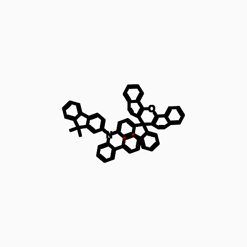 CC1(C)c2ccccc2-c2ccc(N(c3ccc4c(c3)-c3ccccc3C43c4ccc5ccccc5c4Oc4c3ccc3ccccc43)c3ccccc3-c3ccccc3)cc21